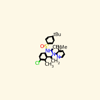 C=CN(C(=C)c1c(N[S+]([O-])c2ccc(C(C)(C)C)cc2)ccc(Cl)c1C)c1ncccc1OC